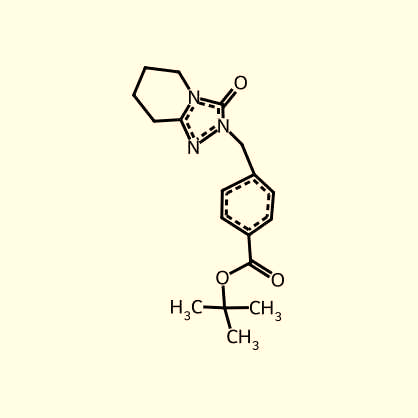 CC(C)(C)OC(=O)c1ccc(Cn2nc3n(c2=O)CCCC3)cc1